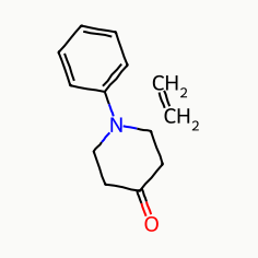 C=C.O=C1CCN(c2ccccc2)CC1